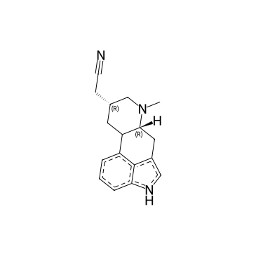 CN1C[C@@H](CC#N)CC2c3cccc4[nH]cc(c34)C[C@H]21